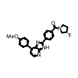 COc1ccc(-c2ccnc3[nH]c(-c4ccc(C(=O)N5CC[C@H](F)C5)cc4)nc23)cc1